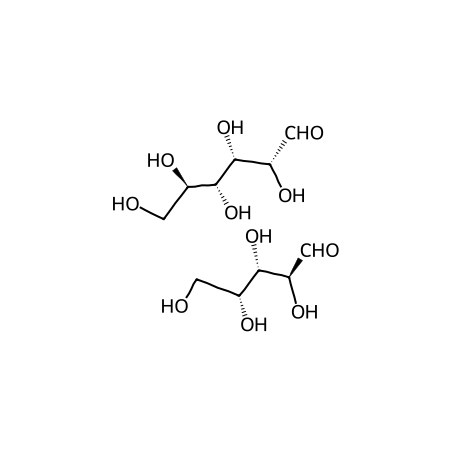 O=C[C@@H](O)[C@@H](O)[C@H](O)CO.O=C[C@H](O)[C@@H](O)[C@H](O)[C@H](O)CO